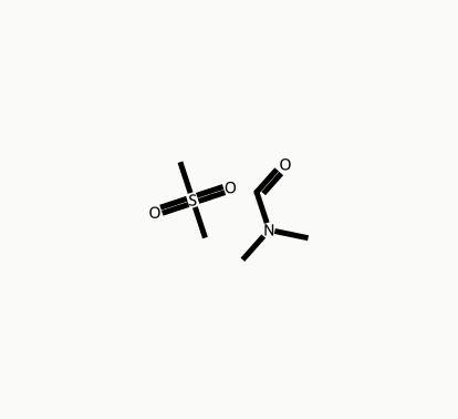 CN(C)C=O.CS(C)(=O)=O